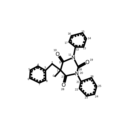 CC1(Cc2ccccc2)C(=O)N(c2ccccc2)C(=O)N(c2ccccc2)C1=O